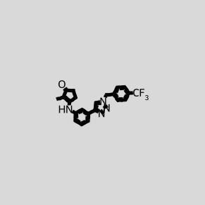 CC1=C(Nc2cccc(-c3cn(Cc4ccc(C(F)(F)F)cc4)nn3)c2)CCC1=O